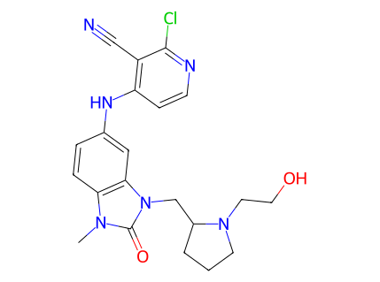 Cn1c(=O)n(CC2CCCN2CCO)c2cc(Nc3ccnc(Cl)c3C#N)ccc21